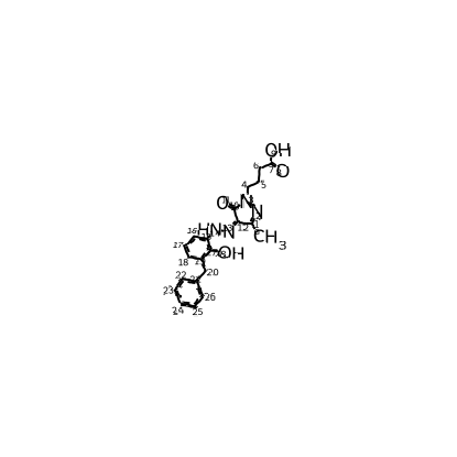 CC1=NN(CCCC(=O)O)C(=O)/C1=N\Nc1cccc(Cc2ccccc2)c1O